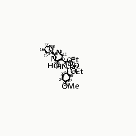 CCOP(=O)(OCC)C(NC(=O)c1cnc(-n2cccn2)nc1O)c1ccc(OC)cc1